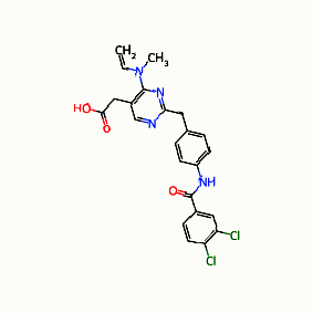 C=CN(C)c1nc(Cc2ccc(NC(=O)c3ccc(Cl)c(Cl)c3)cc2)ncc1CC(=O)O